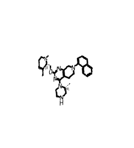 CC1CCCN(C)[C@@H]1COc1nc2c(c(N3CCNC[C@H]3C)n1)CCN(c1cccc3ccccc13)C2